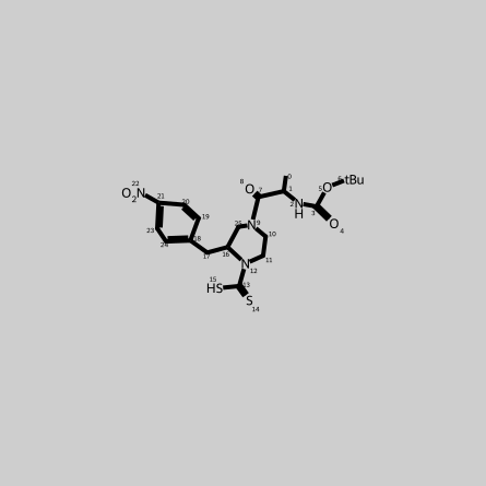 CC(NC(=O)OC(C)(C)C)C(=O)N1CCN(C(=S)S)C(Cc2ccc([N+](=O)[O-])cc2)C1